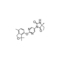 CC[C@@]1(C)NC(=O)N(c2cnc(Oc3ccc(C)c4c3C(C)(C)OC4)nc2)C1=O